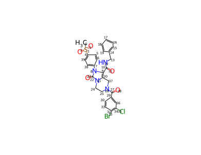 CS(=O)(=O)c1ccc(-n2c(C(=O)NCc3ccccc3)c3n(c2=O)CCN(C(=O)c2ccc(Br)c(Cl)c2)C3)cc1